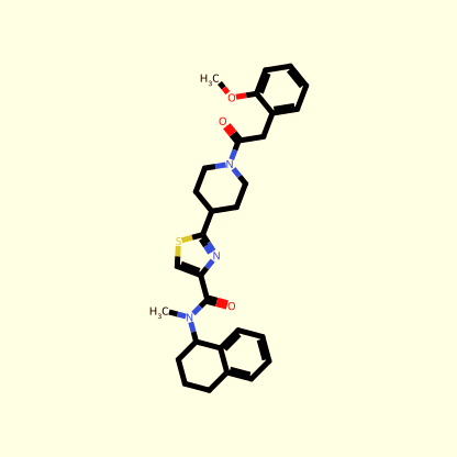 COc1ccccc1CC(=O)N1CCC(c2nc(C(=O)N(C)C3CCCc4ccccc43)cs2)CC1